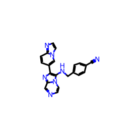 N#Cc1ccc(CNc2c(-c3ccc4nccn4c3)nc3cnccn23)cc1